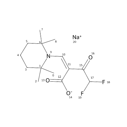 CC1(C)CCCC(C)(C)N1C=C(C(=O)[O-])C(=O)C(F)F.[Na+]